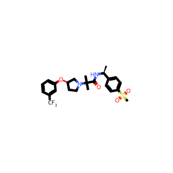 C[C@H](NC(=O)C(C)(C)N1CC[C@@H](Oc2cccc(C(F)(F)F)c2)C1)c1ccc(S(C)(=O)=O)cc1